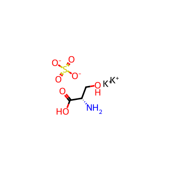 N[C@@H](CO)C(=O)O.O=S(=O)([O-])[O-].[K+].[K+]